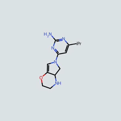 CC(C)c1cc(N2C=C3OCCNC3C2)nc(N)n1